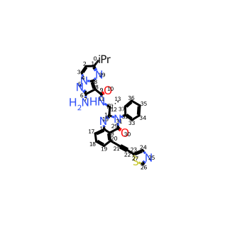 CC(C)c1ccn2nc(N)c(C(=O)N[C@H](C)c3nc4cccc(C#Cc5cncs5)c4c(=O)n3-c3ccccc3)c2n1